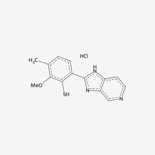 COc1c(C)ccc(-c2nc3cnccc3[nH]2)c1S.Cl